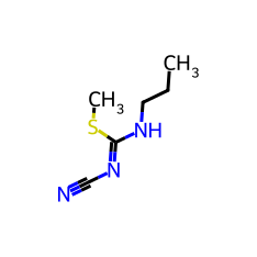 CCCN/C(=N/C#N)SC